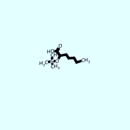 CCCCCC(O[Si](C)(C)C)C(=O)O